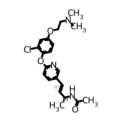 CC(=O)N[C@@H](C)/C=C/c1ccc(Oc2ccc(OCCN(C)C)cc2Cl)nc1